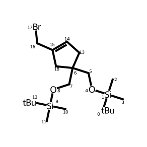 CC(C)(C)[Si](C)(C)OCC1(CO[Si](C)(C)C(C)(C)C)CC=C(CBr)C1